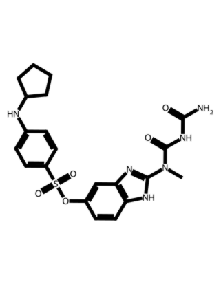 CN(C(=O)NC(N)=O)c1nc2cc(OS(=O)(=O)c3ccc(NC4CCCC4)cc3)ccc2[nH]1